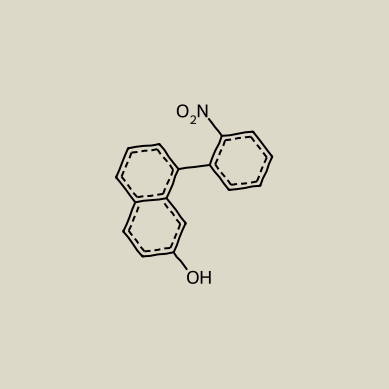 O=[N+]([O-])c1ccccc1-c1cccc2ccc(O)cc12